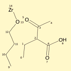 CCC(C(C)=O)C(=O)O.CCCC[O][Zr]